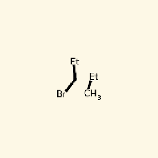 CCC.CCCBr